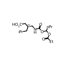 CCCC(OC(=O)CC)OC(=O)NC[C@H](CC(=O)O)CC(C)C